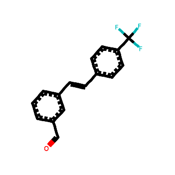 O=Cc1cccc(/C=C/c2ccc(C(F)(F)F)cc2)c1